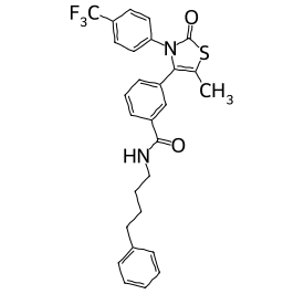 Cc1sc(=O)n(-c2ccc(C(F)(F)F)cc2)c1-c1cccc(C(=O)NCCCCc2ccccc2)c1